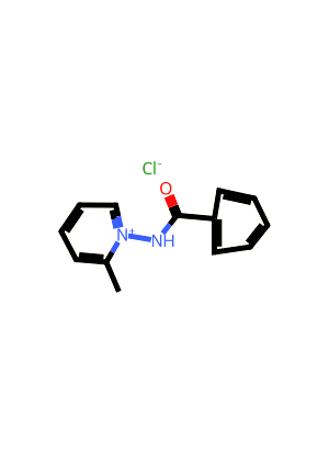 Cc1cccc[n+]1NC(=O)c1ccccc1.[Cl-]